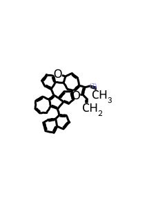 C=Cc1oc2c(c1/C=C\C)C=CC1Oc3cccc(-c4c5c(c(-c6cccc7ccccc67)c6ccccc46)CC=CC=C5)c3C1C2